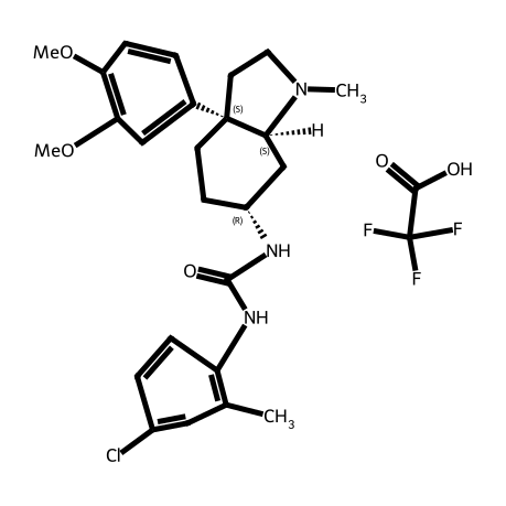 COc1ccc([C@@]23CC[C@@H](NC(=O)Nc4ccc(Cl)cc4C)C[C@@H]2N(C)CC3)cc1OC.O=C(O)C(F)(F)F